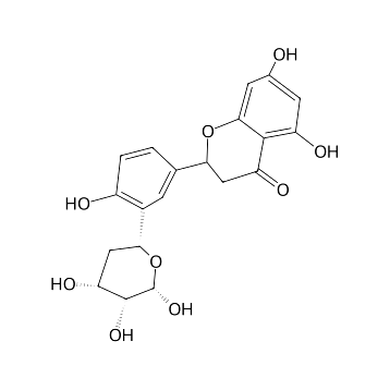 O=C1CC(c2ccc(O)c([C@H]3C[C@@H](O)[C@@H](O)[C@@H](O)O3)c2)Oc2cc(O)cc(O)c21